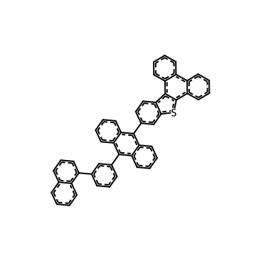 c1cc(-c2cccc3ccccc23)cc(-c2c3ccccc3c(-c3ccc4c(c3)sc3c5ccccc5c5ccccc5c43)c3ccccc23)c1